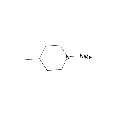 CNN1CCC(C)CC1